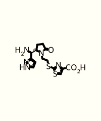 NC(c1cc[nH]n1)[C@H]1CCC(=O)N1CCSc1nc(C(=O)O)cs1